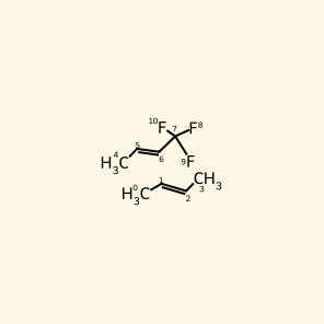 CC=CC.CC=CC(F)(F)F